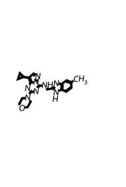 Cc1ccc2[nH]c(CNc3nc(N4CCOCC4)nc4c(C5CC5)cnn34)nc2c1